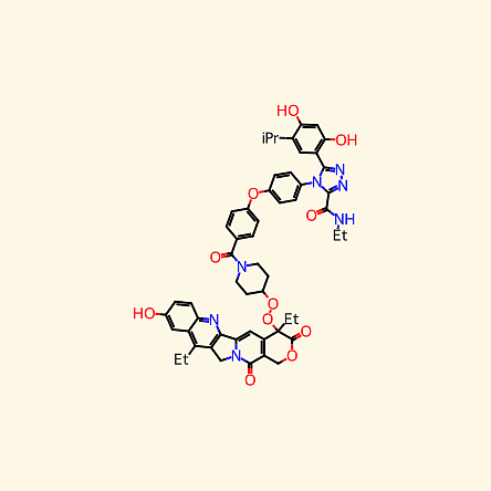 CCNC(=O)c1nnc(-c2cc(C(C)C)c(O)cc2O)n1-c1ccc(Oc2ccc(C(=O)N3CCC(OOC4(CC)C(=O)OCc5c4cc4n(c5=O)Cc5c-4nc4ccc(O)cc4c5CC)CC3)cc2)cc1